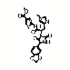 COC(=O)c1csc(NC(=O)C(Cc2cn(C)cn2)N2C(=O)NC(c3ccc4c(c3)OCO4)C2=O)n1